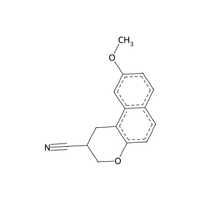 COc1ccc2ccc3c(c2c1)CC(C#N)CO3